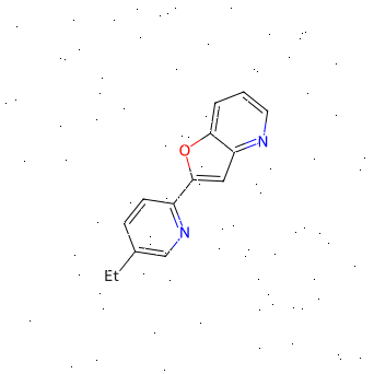 CCc1ccc(-c2cc3ncccc3o2)nc1